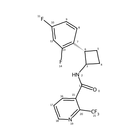 O=C(NC1CC[C@H]1c1ccc(F)cc1F)c1cccnc1C(F)(F)F